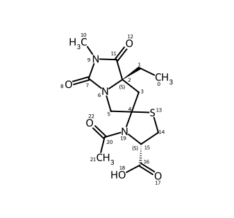 CC[C@@]12CC3(CN1C(=O)N(C)C2=O)SC[C@H](C(=O)O)N3C(C)=O